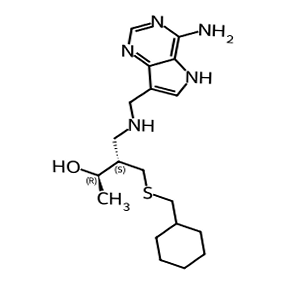 C[C@@H](O)[C@H](CNCc1c[nH]c2c(N)ncnc12)CSCC1CCCCC1